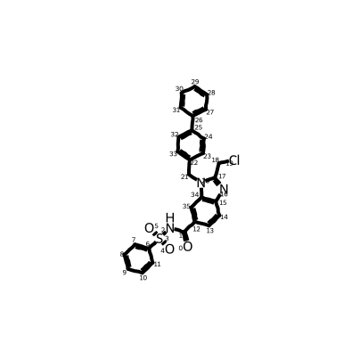 O=C(NS(=O)(=O)c1ccccc1)c1ccc2nc(CCl)n(Cc3ccc(-c4ccccc4)cc3)c2c1